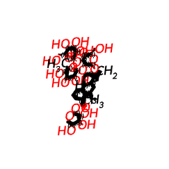 C=C1C[C@@]23CC[C@H]4[C@@](C)(CCC[C@@]4(C)C(=O)O[C@@H]4OC[C@@H](O)[C@H](O)[C@H]4O)[C@@H]2CC[C@]1(O[C@@H]1O[C@H](CO)[C@@H](O)[C@H](O[C@@H]2O[C@H](CO)[C@@H](O)[C@H](O)[C@H]2O)[C@H]1O[C@@H]1O[C@@H](C)[C@H](O)[C@@H](O)[C@H]1O)C3